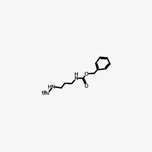 CC(C)(C)NCCCNC(=O)OCc1ccccc1